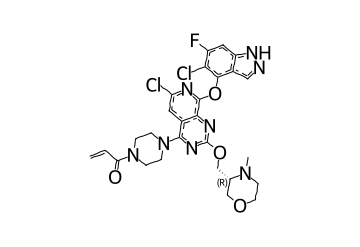 C=CC(=O)N1CCN(c2nc(OC[C@H]3COCCN3C)nc3c(Oc4c(Cl)c(F)cc5[nH]ncc45)nc(Cl)cc23)CC1